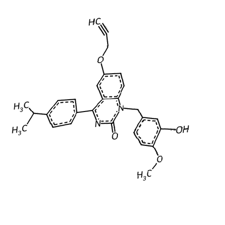 C#CCOc1ccc2c(c1)c(-c1ccc(C(C)C)cc1)nc(=O)n2Cc1ccc(OC)c(O)c1